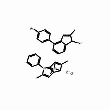 CC1=C2c3c(cc(C)n3-c3ccccc3)C1[Si]2(C)C.CC1=Cc2c(-c3ccc(C(C)C)cc3)cccc2[CH]1[Zr+2].[Cl-].[Cl-]